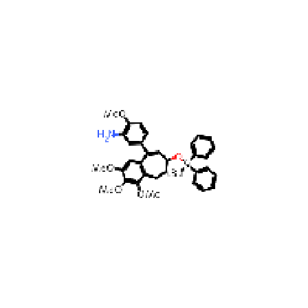 COc1ccc(C2=CC(O[Si](c3ccccc3)(c3ccccc3)C(C)(C)C)CCc3c2cc(OC)c(OC)c3OC)cc1N